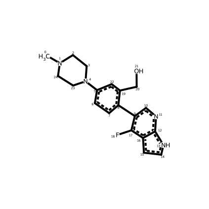 CN1CCN(c2ccc(-c3cnc4[nH]ccc4c3F)c(CO)c2)CC1